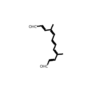 CC(C=CC=O)=CC=CC=C(C)C=CC=O